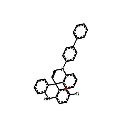 Clc1ccc2c(c1)C1(c3ccccc3N2)c2ccccc2N(c2ccc(-c3ccccc3)cc2)c2ccccc21